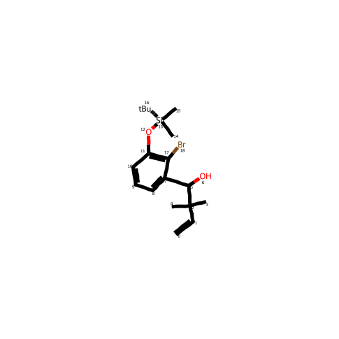 C=CC(C)(C)C(O)c1cccc(O[Si](C)(C)C(C)(C)C)c1Br